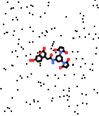 O=C(Cc1cc(=O)oc2cc(O)ccc12)NC1CC(N2C(=O)C=CC2=O)CC(N2C(=O)C=CC2=O)C1